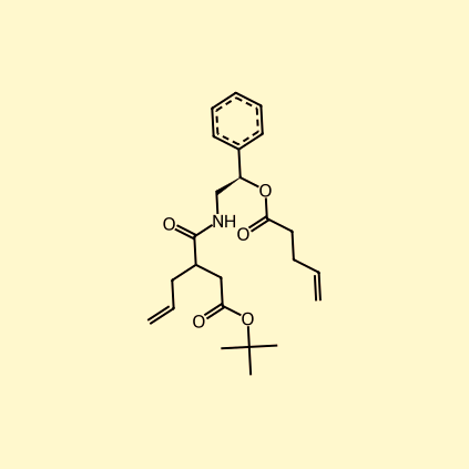 C=CCCC(=O)O[C@@H](CNC(=O)C(CC=C)CC(=O)OC(C)(C)C)c1ccccc1